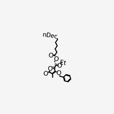 CCCCCCCCCCCCCCCC(=O)OC[C@H](OCC)[C@H]1OC(=O)C(C)=C1OCc1ccccc1